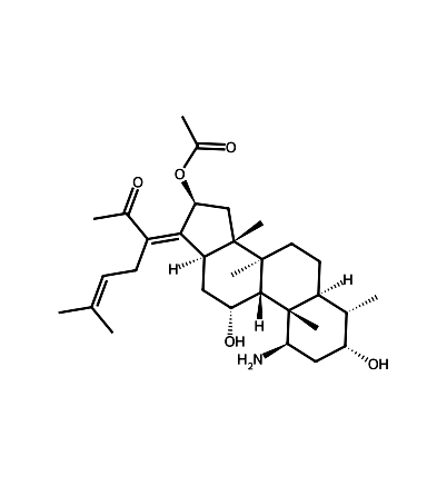 CC(=O)O[C@H]1C[C@@]2(C)[C@@H](C[C@@H](O)[C@H]3[C@@]4(C)[C@H](N)C[C@@H](O)[C@@H](C)[C@@H]4CC[C@@]32C)/C1=C(\CC=C(C)C)C(C)=O